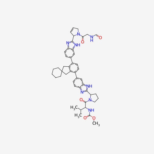 COC(=O)NC(C(=O)N1CCCC1c1nc2ccc(-c3ccc(-c4ccc5nc(C6C=CCN6C(=O)CNC=O)[nH]c5c4)c4c3CC3(CCCCC3)C4)cc2[nH]1)C(C)C